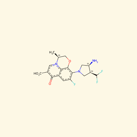 C[C@H]1COc2c(N3C[C@@H](N)[C@@H](C(F)F)C3)c(F)cc3c(=O)c(C(=O)O)cn1c23